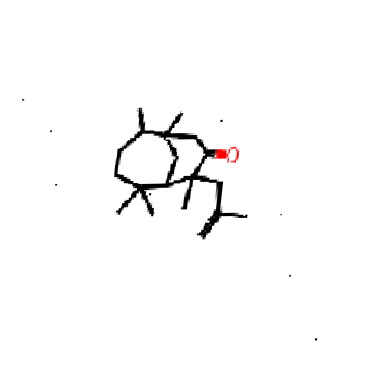 C=C(C)CC1(C)C(=O)CC2(C)CC1C(C)(C)CCC2C